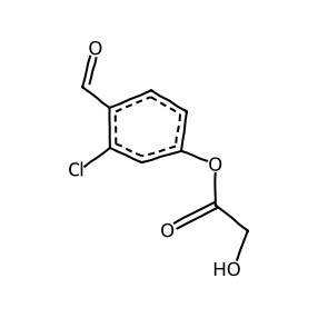 O=Cc1ccc(OC(=O)CO)cc1Cl